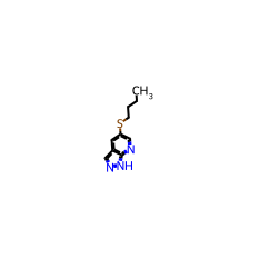 CCCCSc1cnc2[nH]ncc2c1